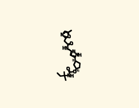 CCC(C)(C)NC(=O)O[C@@H]1CC[C@H](c2cc(NC(=O)Cc3ncc(C)o3)n[nH]2)C1